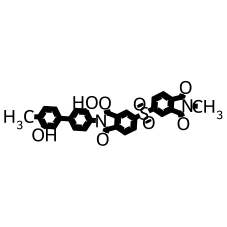 Cc1ccc(-c2ccc(N3C(=O)c4ccc(S(=O)(=O)c5ccc6c(c5)C(=O)N(C)C6=O)cc4C3=O)c(O)c2)cc1O